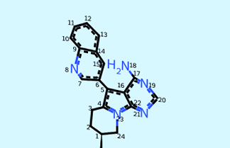 C[C@H]1CCc2c(-c3cnc4ccccc4c3)c3c(N)ncnc3n2C1